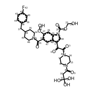 O=C(C(=O)N1CCN(C(=O)CC(O)(O)O)CC1)c1cn(C(=O)OCO)c2cc(OO)c(C(=O)N3CCC(Cc4ccc(F)cc4)CC3)cc12